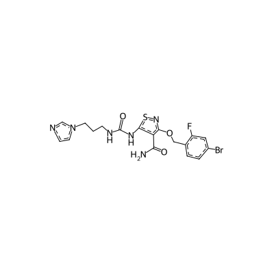 NC(=O)c1c(OCc2ccc(Br)cc2F)nsc1NC(=O)NCCCn1ccnc1